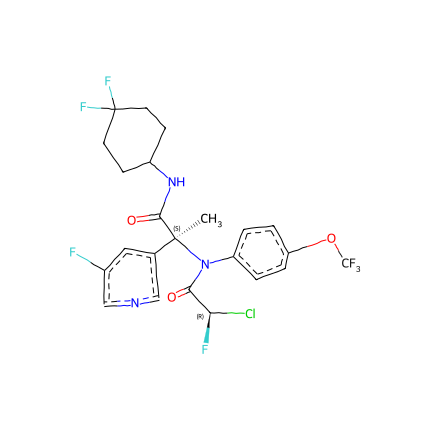 C[C@@](C(=O)NC1CCC(F)(F)CC1)(c1cncc(F)c1)N(C(=O)[C@H](F)Cl)c1ccc(OC(F)(F)F)cc1